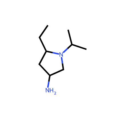 CCC1CC(N)CN1C(C)C